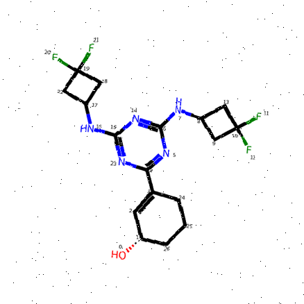 O[C@@H]1C=C(c2nc(NC3CC(F)(F)C3)nc(NC3CC(F)(F)C3)n2)CCC1